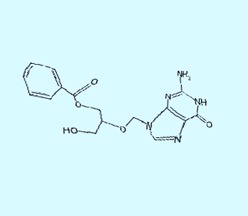 Nc1nc2c(ncn2COC(CO)COC(=O)c2ccccc2)c(=O)[nH]1